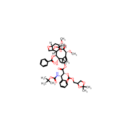 CO[C@H]1C(=O)[C@]2(C)[C@@H](OC)C[C@H]3OC[C@@]3(OC(C)=O)[C@H]2[C@H](OC(=O)c2ccccc2)[C@]2(O)C[C@H](OC(=O)[C@H](OC(=O)OCC3COC(C)(C)O3)[C@@H](NC(=O)OC(C)(C)C)c3ccccc3)C=C1C2(C)C